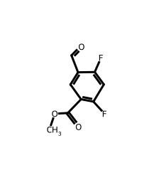 COC(=O)c1cc(C=O)c(F)cc1F